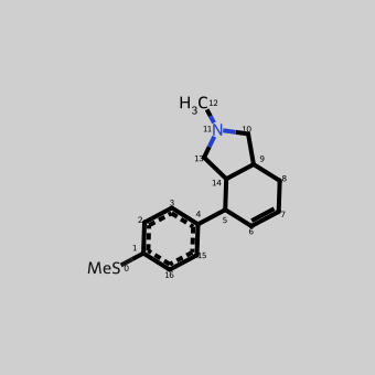 CSc1ccc(C2C=CCC3CN(C)CC32)cc1